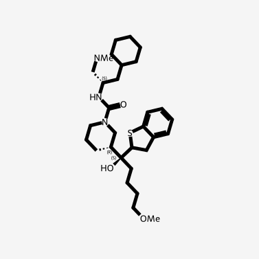 CNC[C@H](CC1CCCCC1)NC(=O)N1CCC[C@@H]([C@@](O)(CCCCOC)C2Cc3ccccc3S2)C1